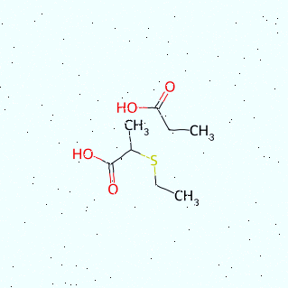 CCC(=O)O.CCSC(C)C(=O)O